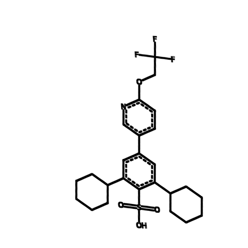 O=S(=O)(O)c1c(C2CCCCC2)cc(-c2ccc(OCC(F)(F)F)nc2)cc1C1CCCCC1